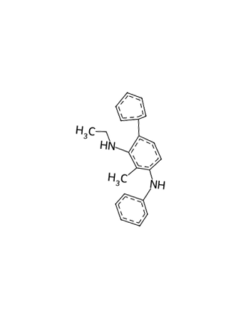 CCNc1c(-c2ccccc2)ccc(Nc2ccccc2)c1C